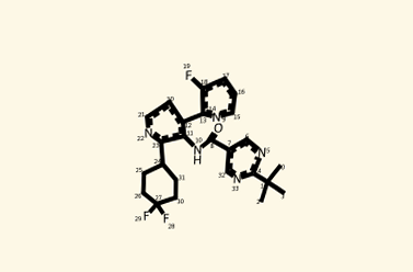 CC(C)(C)c1ncc(C(=O)Nc2c(-c3ncccc3F)ccnc2C2CCC(F)(F)CC2)cn1